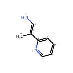 C/C(=C\N)c1ccccn1